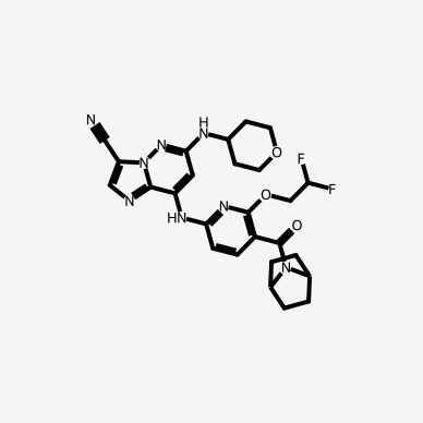 N#Cc1cnc2c(Nc3ccc(C(=O)N4C5CCC4CC5)c(OCC(F)F)n3)cc(NC3CCOCC3)nn12